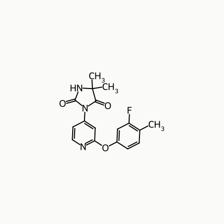 Cc1ccc(Oc2cc(N3C(=O)NC(C)(C)C3=O)ccn2)cc1F